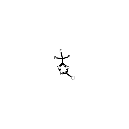 FC(F)(F)c1nnc(Cl)o1